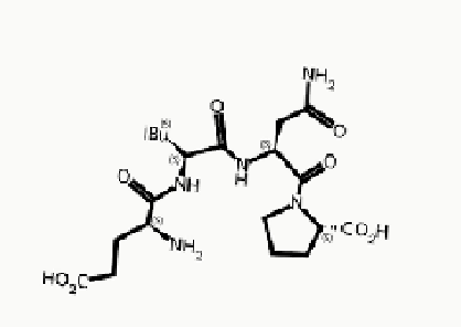 CC[C@H](C)[C@H](NC(=O)[C@@H](N)CCC(=O)O)C(=O)N[C@@H](CC(N)=O)C(=O)N1CCC[C@H]1C(=O)O